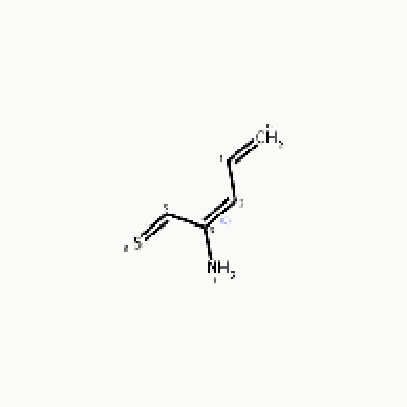 C=C/C=C(/N)C=S